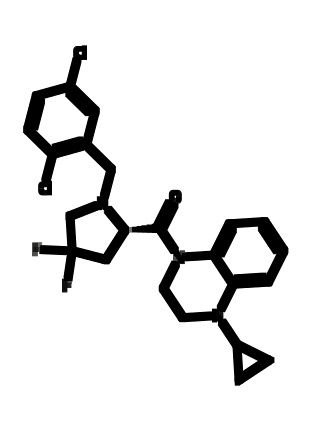 O=C([C@@H]1CC(F)(F)CN1Cc1cc(Cl)ccc1Cl)N1CCN(C2CC2)c2ccccc21